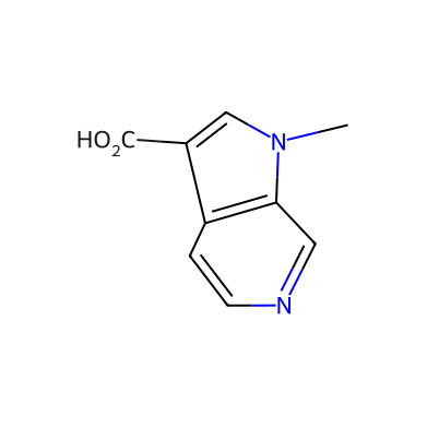 Cn1cc(C(=O)O)c2ccncc21